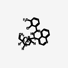 C=C[C@H]1C[N@]2CC[C@H]1C[C@H]2[C@@H](NC(=O)c1cccc(C(F)(F)F)c1Cl)c1ccnc2ccccc12